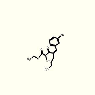 CCCCC(=Cc1cccc(S)c1)C(=O)C(S)C(=O)OCC